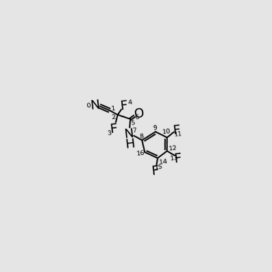 N#CC(F)(F)C(=O)Nc1cc(F)c(F)c(F)c1